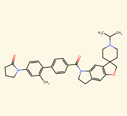 Cc1cc(N2CCCC2=O)ccc1-c1ccc(C(=O)N2CCc3cc4c(cc32)C2(CCN(C(C)C)CC2)CO4)cc1